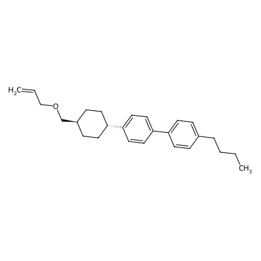 C=CCOC[C@H]1CC[C@H](c2ccc(-c3ccc(CCCC)cc3)cc2)CC1